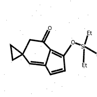 CC[Si](CC)(CC)OC1=C2C(=O)CC3(C=C2C=C1)CC3